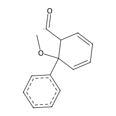 COC1(c2ccccc2)C=CC=CC1[C]=O